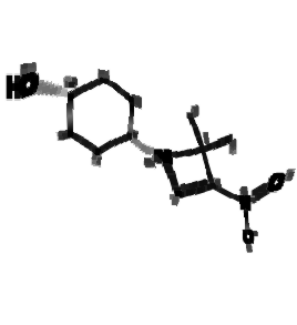 CC1(C)C([N+](=O)[O-])=CN1[C@H]1CC[C@@H](O)CC1